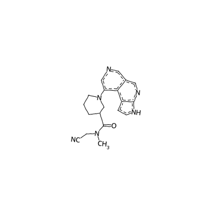 CN(CC#N)C(=O)C1CCCN(c2cncc3cnc4[nH]ccc4c23)C1